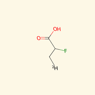 [2H]CC(F)C(=O)O